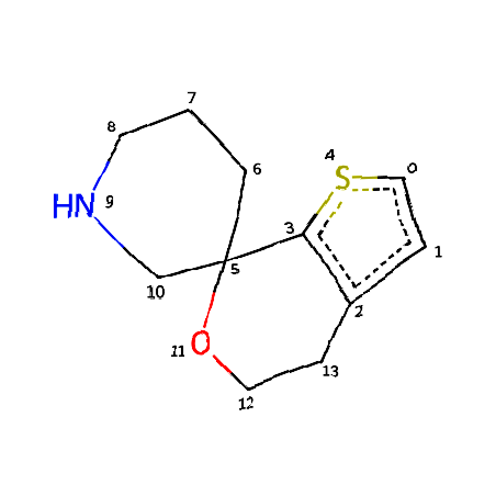 c1cc2c(s1)C1(CCCNC1)OCC2